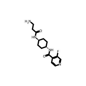 NCCC(=O)N[C@H]1CC[C@H](NC(=O)c2ccncc2F)CC1